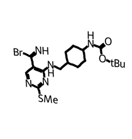 CSc1ncc(C(=N)Br)c(NCC2CCC(NC(=O)OC(C)(C)C)CC2)n1